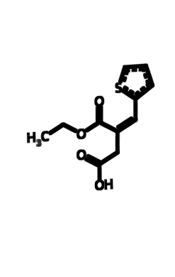 CCOC(=O)C(=Cc1cccs1)CC(=O)O